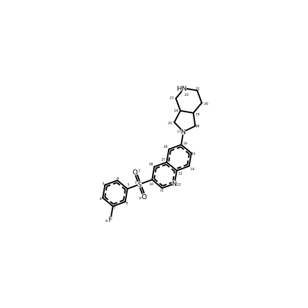 O=S(=O)(c1cccc(F)c1)c1cnc2ccc(N3CC4CCNCC4C3)cc2c1